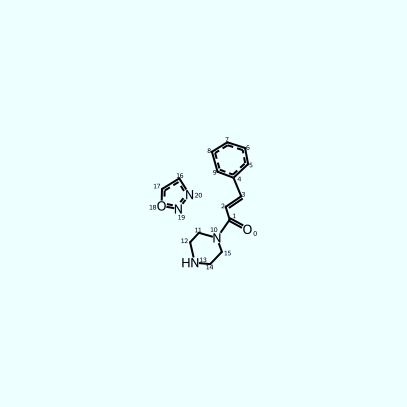 O=C(C=Cc1ccccc1)N1CCNCC1.c1conn1